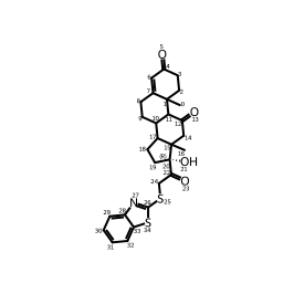 CC12CCC(=O)C=C1CCC1C2C(=O)CC2(C)C1CC[C@]2(O)C(=O)CSc1nc2ccccc2s1